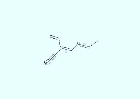 C=C/C(C#N)=C\N=C\C